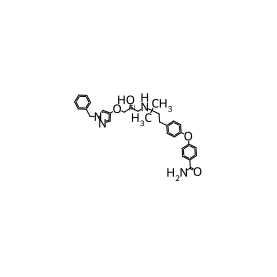 CC(C)(CCc1ccc(Oc2ccc(C(N)=O)cc2)cc1)NC[C@H](O)COc1cnn(Cc2ccccc2)c1